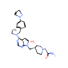 CCN(Cc1ccc(-n2cccn2)cc1)c1ncnc2c1ccn2C[C@@H]1CCN(CC(N)=O)C[C@H]1O